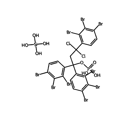 O=P(O)(O)OC(CC(Cl)(Cl)c1ccc(Br)c(Br)c1Br)(c1ccc(Br)c(Br)c1Br)c1ccc(Br)c(Br)c1Br.O[Si](O)(O)O